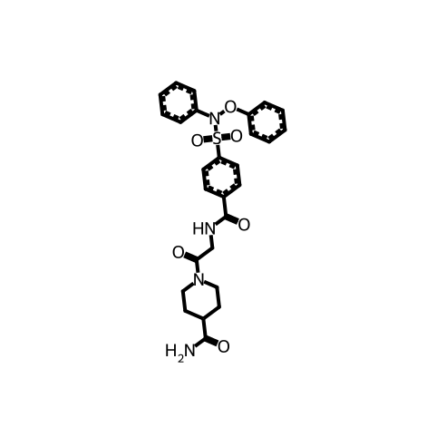 NC(=O)C1CCN(C(=O)CNC(=O)c2ccc(S(=O)(=O)N(Oc3ccccc3)c3ccccc3)cc2)CC1